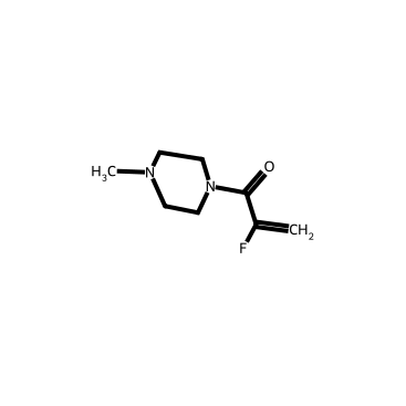 C=C(F)C(=O)N1CCN(C)CC1